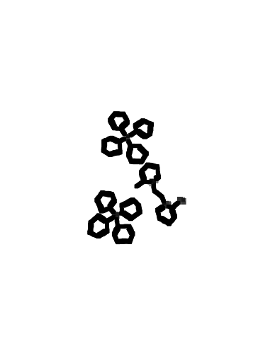 CCc1cccc[n+]1CC[n+]1ccccc1C.c1ccc([B-](c2ccccc2)(c2ccccc2)c2ccccc2)cc1.c1ccc([B-](c2ccccc2)(c2ccccc2)c2ccccc2)cc1